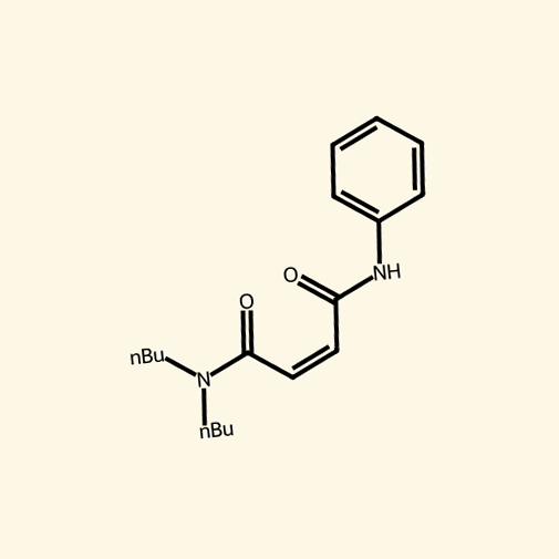 CCCCN(CCCC)C(=O)/C=C\C(=O)Nc1ccccc1